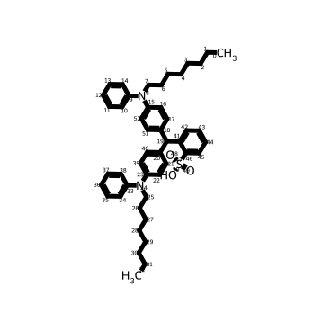 CCCCCCCCN(c1ccccc1)c1ccc(C(c2ccc(N(CCCCCCCC)c3ccccc3)cc2)c2ccccc2S(=O)(=O)O)cc1